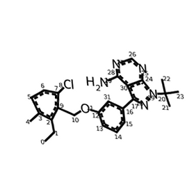 CCc1c(C)ccc(Cl)c1COc1cccc(-c2nn(C(C)(C)C)c3ncnc(N)c23)c1